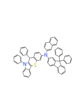 c1ccc(C2c3ccc(N(c4ccc5c(c4)C(c4ccccc4)(c4ccccc4)c4ccccc4-5)c4ccc5ccccc5c4)cc3Sc3c2n(-c2ccccc2)c2ccccc32)cc1